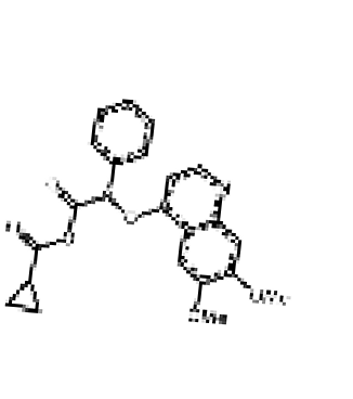 COc1cc2nccc(ON(C(=O)OC(=O)C3CC3)c3ccccc3)c2cc1OC